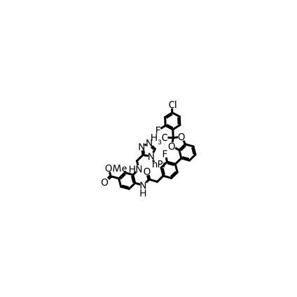 CCCn1cnnc1CNc1cc(C(=O)OC)ccc1NC(=O)Cc1ccc(-c2cccc3c2OC(C)(c2ccc(Cl)cc2F)O3)c(F)c1